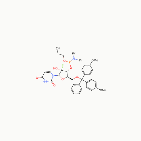 COc1ccc(C(OC[C@H]2O[C@@H](n3ccc(=O)[nH]c3=O)[C@@](O)(F)[C@@H]2OP(OCCC#N)N(C(C)C)C(C)C)(c2ccccc2)c2ccc(OC)cc2)cc1